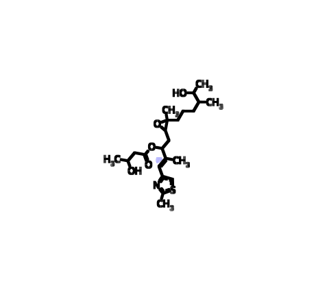 C/C(=C\c1csc(C)n1)C(CC1OC1(C)CCCC(C)C(C)O)OC(=O)CC(C)O